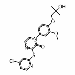 COc1cc(-n2ccnc(Sc3cc(Cl)ccn3)c2=O)ccc1OCC(C)(C)O